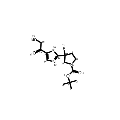 CC(C)(C)OC(=O)N1CCC(F)(c2ncc(C(=O)CBr)s2)C1